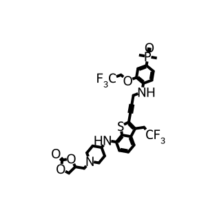 CP(C)(=O)c1ccc(NCC#Cc2sc3c(NC4CCN(CC5COC(=O)O5)CC4)cccc3c2CC(F)(F)F)c(OCC(F)(F)F)c1